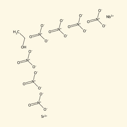 CCO.O=[N+]([O-])[O-].O=[N+]([O-])[O-].O=[N+]([O-])[O-].O=[N+]([O-])[O-].O=[N+]([O-])[O-].O=[N+]([O-])[O-].O=[N+]([O-])[O-].[Nb+5].[Sr+2]